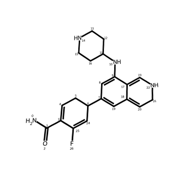 NC(=O)C1=CCC(c2cc(NC3CCNCC3)c3c(c2)=CCNC=3)C=C1F